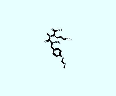 COCOc1ccc(C[C@H](N)C(=O)N(C)[C@H](CCCN)C(=O)O)cc1